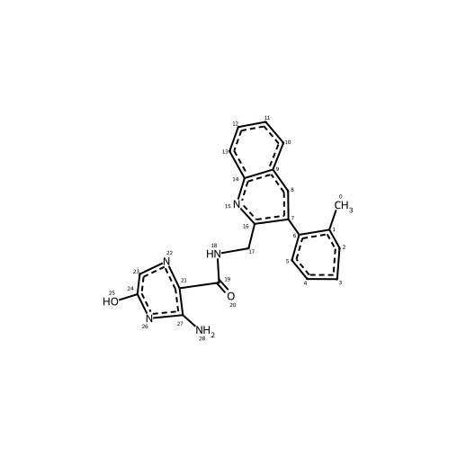 Cc1ccccc1-c1cc2ccccc2nc1CNC(=O)c1ncc(O)nc1N